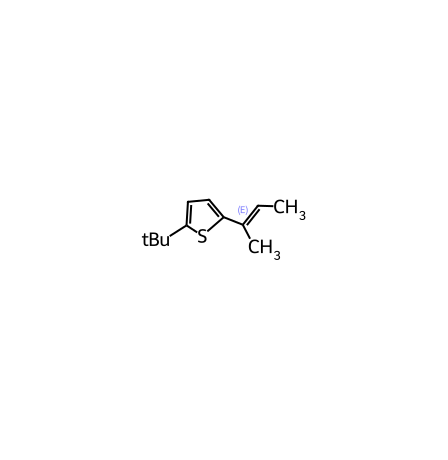 C/C=C(\C)c1ccc(C(C)(C)C)s1